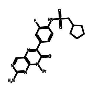 CC(C)n1c(=O)c(-c2ccc(NS(=O)(=O)CC3CCCC3)c(F)c2)nc2cnc(N)nc21